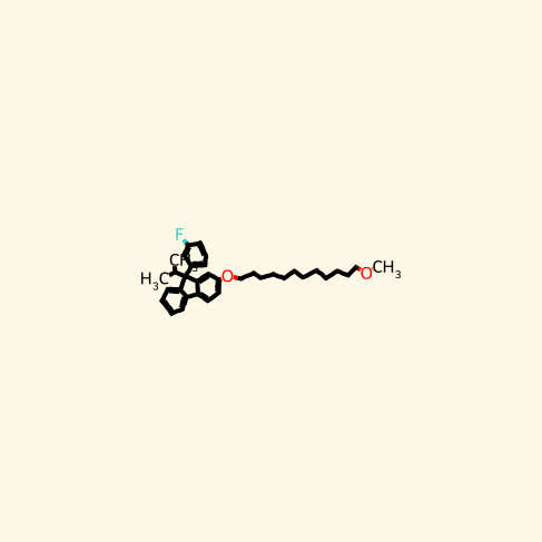 COCCCCCCCCCCCCOc1ccc2c(c1)C(c1cccc(F)c1)(C(C)C)c1ccccc1-2